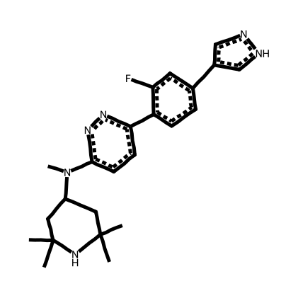 CN(c1ccc(-c2ccc(-c3cn[nH]c3)cc2F)nn1)C1CC(C)(C)NC(C)(C)C1